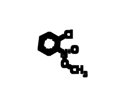 CO[N+](=O)c1ccccc1Cl